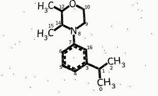 CC(C)c1cccc(N2CCOC(C)C2C)c1